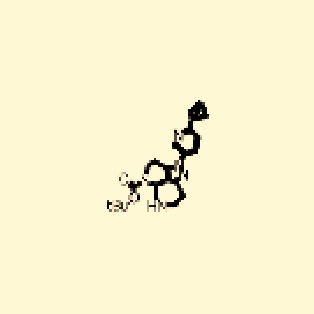 CC(C)(C)OC(=O)N1CCc2c3c(nn2-c2ccc(C45CC(C4)C5)nc2)CCNCC31